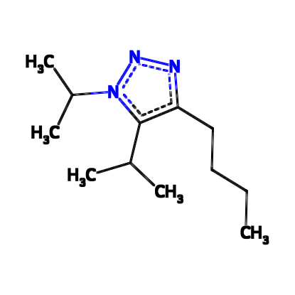 CCCCc1nnn(C(C)C)c1C(C)C